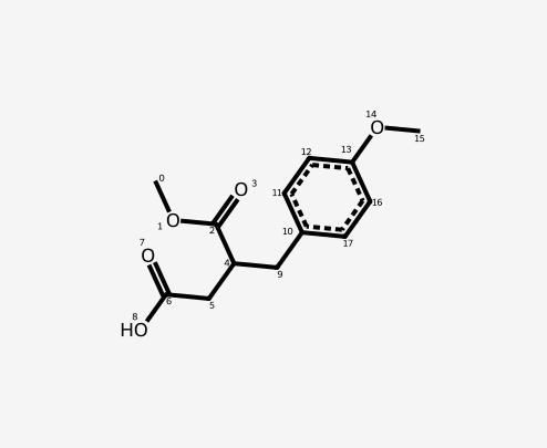 COC(=O)C(CC(=O)O)Cc1ccc(OC)cc1